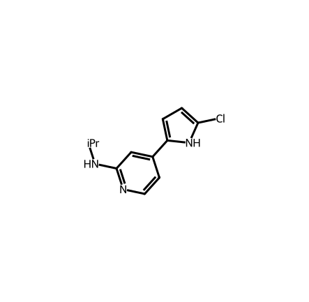 CC(C)Nc1cc(-c2ccc(Cl)[nH]2)ccn1